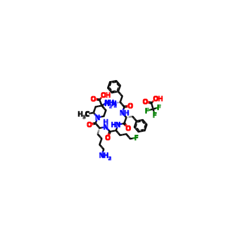 CC1CC(N)(C(=O)O)CCN1C(=O)[C@@H](CCCCN)NC(=O)C(CCCF)NC(=O)[C@@H](Cc1ccccc1)NC(=O)[C@H](N)Cc1ccccc1.O=C(O)C(F)(F)F